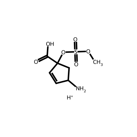 COS(=O)(=O)OC1(C(=O)O)C=CC(N)C1.[H+]